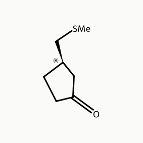 CSC[C@@H]1CCC(=O)C1